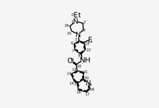 CCN1CCN(c2ccc(NC(=O)c3ccc4cccnc4c3)cc2F)CC1